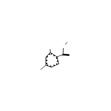 CCCCOC(=O)c1ccc(Cl)cc1Cl